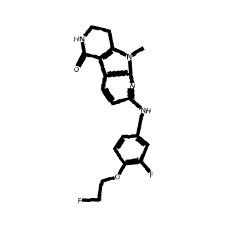 Cn1c2c(c3ccc(Nc4ccc(OCCF)c(F)c4)nc31)C(=O)NCC2